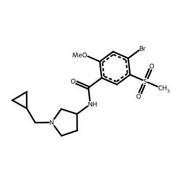 COc1cc(Br)c(S(C)(=O)=O)cc1C(=O)NC1CCN(CC2CC2)C1